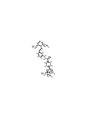 Cc1cccc(C)c1/C=C/c1cccc(CCC(=O)N2CCN(C(=O)OC(C)(C)C)CC2)c1